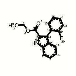 CCOC(=O)c1[nH]c2ccccc2c1-c1ccccc1F